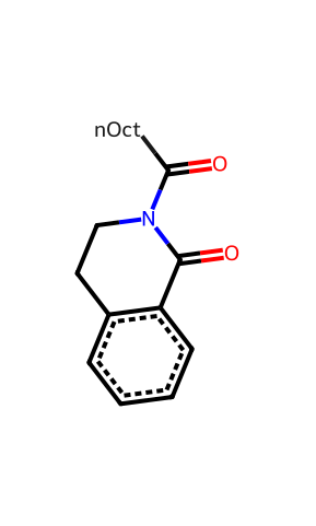 CCCCCCCCC(=O)N1CCc2ccccc2C1=O